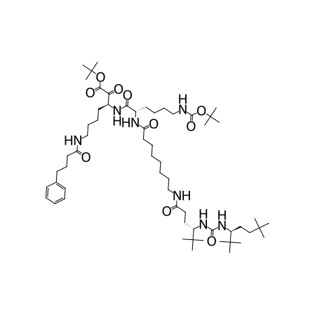 CC(C)(C)CC[C@H](NC(=O)N[C@@H](CCC(=O)NCCCCCCCC(=O)N[C@@H](CCCCNC(=O)OC(C)(C)C)C(=O)N[C@@H](CCCCNC(=O)CCCc1ccccc1)C(=O)C(=O)OC(C)(C)C)C(C)(C)C)C(C)(C)C